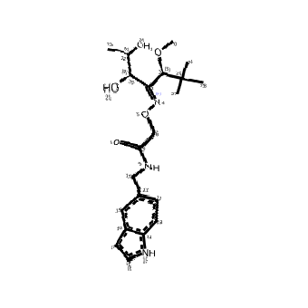 CO[C@H](/C(=N/OCC(=O)NCc1ccc2[nH]ccc2c1)[C@@H](O)[C@@H](C)O)C(C)(C)C